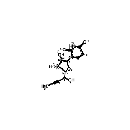 CC#CC(O)[C@@H]1OC(n2ccc(=O)[nH]c2=O)[C@H](O)[C@H]1O